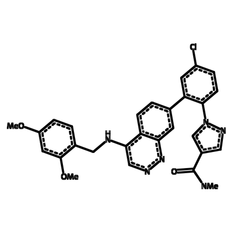 CNC(=O)c1cnn(-c2ccc(Cl)cc2-c2ccc3c(NCc4ccc(OC)cc4OC)cnnc3c2)c1